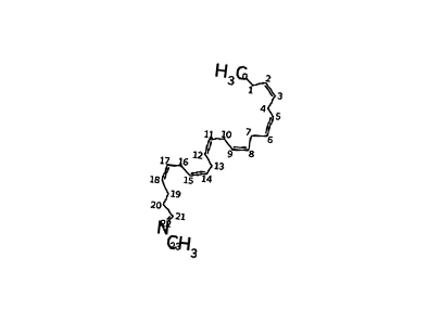 CC/C=C\C/C=C\C/C=C\C/C=C\C/C=C\C/C=C\CC/C=N/C